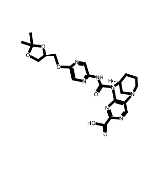 CC1(C)OC[C@H](COc2cnc(NC(=O)N3c4nc(C(=O)O)ncc4N4CCC[C@H]3C4)cn2)O1